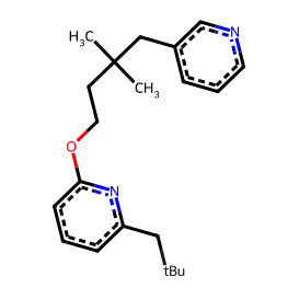 CC(C)(C)Cc1cccc(OCCC(C)(C)Cc2cccnc2)n1